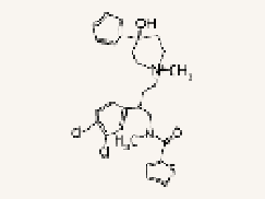 CN(CC(CC[N+]1(C)CCC(O)(c2ccccc2)CC1)c1ccc(Cl)c(Cl)c1)C(=O)c1cccs1